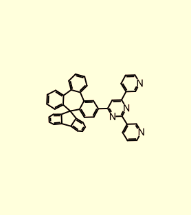 c1cncc(-c2cc(-c3ccc4c(c3)-c3ccccc3-c3ccccc3C43c4ccccc4-c4ccccc43)nc(-c3cccnc3)n2)c1